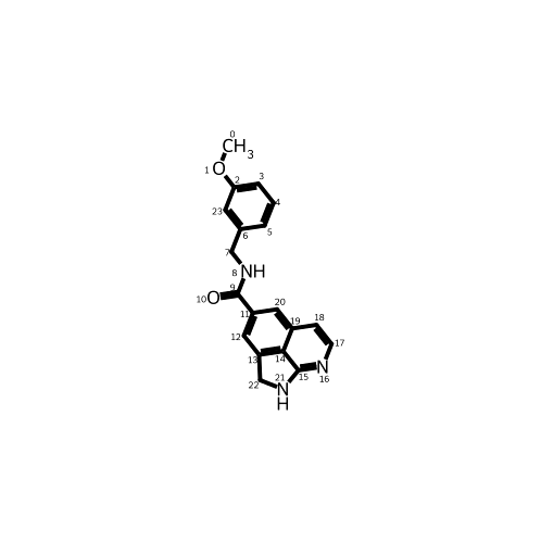 COc1cccc(CNC(=O)c2cc3c4c(nccc4c2)NC3)c1